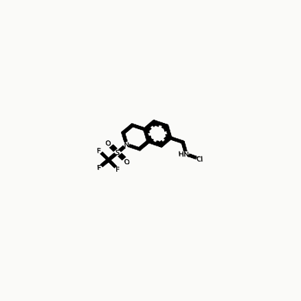 O=S(=O)(N1CCc2ccc(CNCl)cc2C1)C(F)(F)F